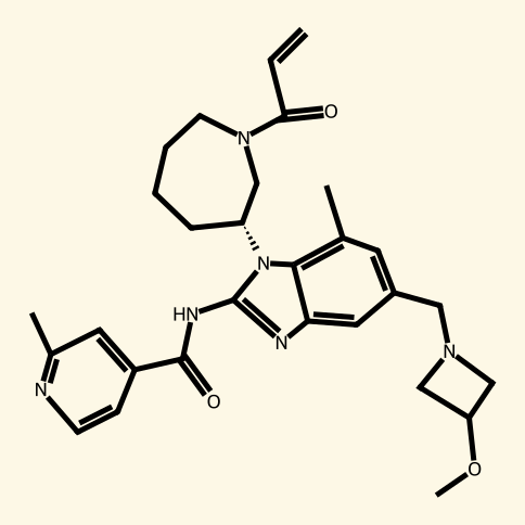 C=CC(=O)N1CCCC[C@@H](n2c(NC(=O)c3ccnc(C)c3)nc3cc(CN4CC(OC)C4)cc(C)c32)C1